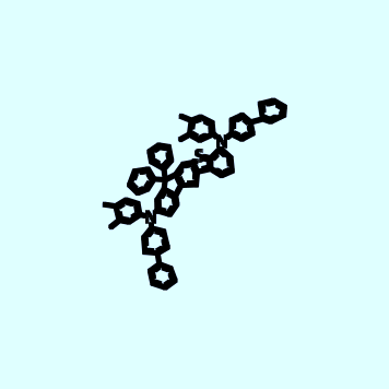 Cc1ccc(N(c2ccc(-c3ccccc3)cc2)c2ccc3c(c2)C(c2ccccc2)(c2ccccc2)c2cc4sc5c(N(c6ccc(-c7ccccc7)cc6)c6ccc(C)c(C)c6)cccc5c4cc2-3)cc1C